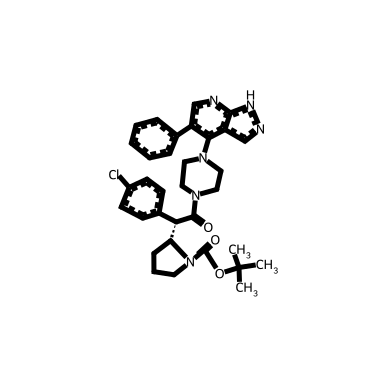 CC(C)(C)OC(=O)N1CCCC1[C@@H](C(=O)N1CCN(c2c(-c3ccccc3)cnc3[nH]ncc23)CC1)c1ccc(Cl)cc1